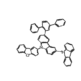 c1ccc(-c2ccc(-c3ccccc3)c(-c3ccc4c(c3)c3cc(-n5c6ccccc6c6ccccc65)ccc3n4-c3ccc4oc5ccccc5c4c3)c2)cc1